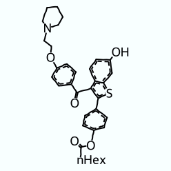 CCCCCCC(=O)Oc1ccc(-c2sc3cc(O)ccc3c2C(=O)c2ccc(OCCN3CCCCC3)cc2)cc1